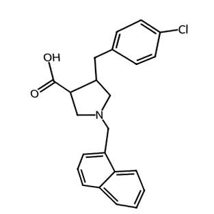 O=C(O)C1CN(Cc2cccc3ccccc23)CC1Cc1ccc(Cl)cc1